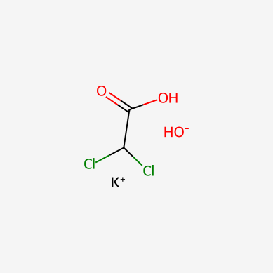 O=C(O)C(Cl)Cl.[K+].[OH-]